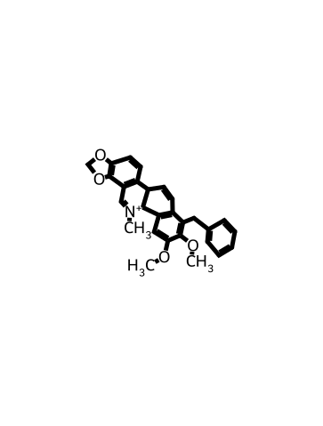 COc1cc2c(c(Cc3ccccc3)c1OC)C=CC1c3ccc4c(c3C=[N+](C)C21)OCO4